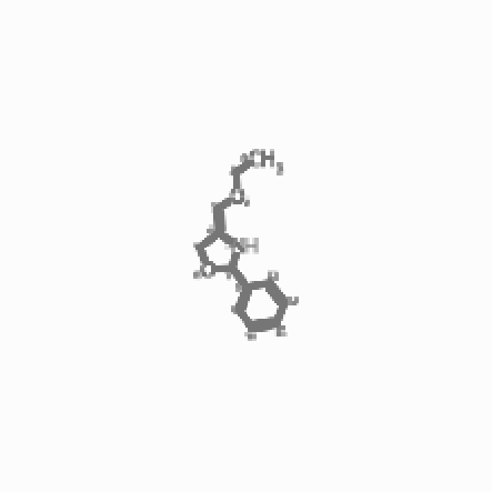 CCOC=C1COC(c2ccccc2)N1